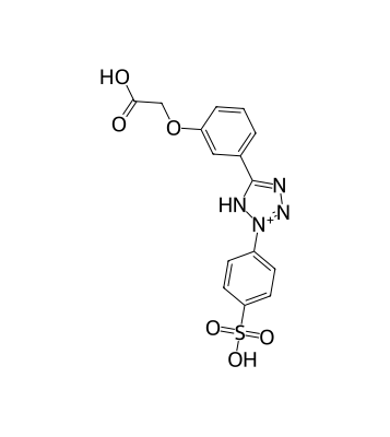 O=C(O)COc1cccc(-c2nn[n+](-c3ccc(S(=O)(=O)O)cc3)[nH]2)c1